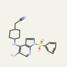 N#CCC1CCC(Nc2c(N)cnc3c2ccn3S(=O)(=O)c2ccccc2)CC1